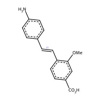 COc1cc(C(=O)O)ccc1/C=C/c1ccc(N)cc1